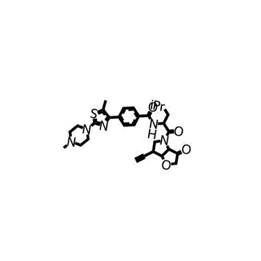 C#CC1CN(C(=O)C(CC(C)C)NC(=O)c2ccc(-c3nc(N4CCN(C)CC4)sc3C)cc2)C2C(=O)COC12